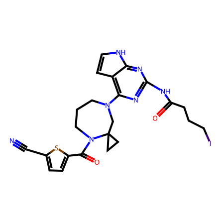 N#Cc1ccc(C(=O)N2CCCN(c3nc(NC(=O)CCCI)nc4[nH]ccc34)CC23CC3)s1